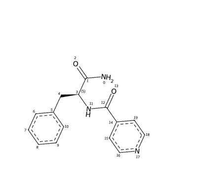 NC(=O)[C@H](Cc1ccccc1)NC(=O)c1ccncc1